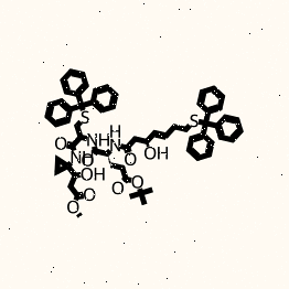 COC(=O)CC(O)C1(NC(=O)C(CSC(c2ccccc2)(c2ccccc2)c2ccccc2)NC(=O)[C@@H](CCC(=O)OC(C)(C)C)NC(=O)C[C@H](O)/C=C/CCSC(c2ccccc2)(c2ccccc2)c2ccccc2)CC1